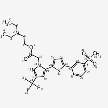 CCN(CC)CCOC(=O)Cn1nc(C(F)(F)F)cc1-c1ccc(-c2cccc(S(C)(=O)=O)c2)s1